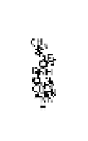 CCN1CCN(Cc2ccc(NC(=O)c3ccc(C)c(Nc4nccn4-c4cc(NC5CC5)ncn4)c3)cc2C(F)(F)F)CC1